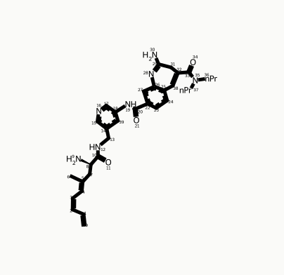 C=C/C=C\C=C(/C)C[C@@H](N)C(=O)NCc1cncc(NC(=O)c2ccc3c(c2)N=C(N)CC(C(=O)N(CCC)CCC)=C3)c1